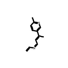 C=C/N=C\C=C(/C)c1ccc(C)nc1